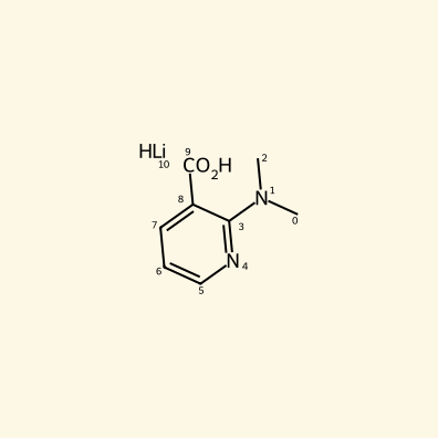 CN(C)c1ncccc1C(=O)O.[LiH]